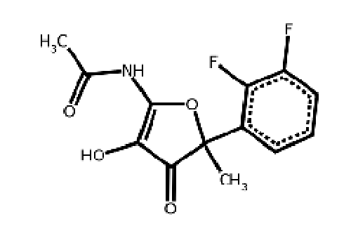 CC(=O)NC1=C(O)C(=O)C(C)(c2cccc(F)c2F)O1